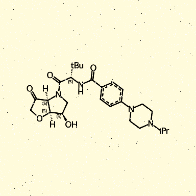 CC(C)N1CCN(c2ccc(C(=O)N[C@H](C(=O)N3C[C@@H](O)[C@H]4OCC(=O)[C@H]43)C(C)(C)C)cc2)CC1